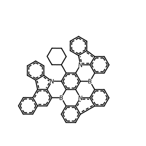 c1ccc2c(c1)cc1c3c2c2ccccc2n3-c2c3c4c5c(c2C2CCCCC2)-n2c6ccccc6c6cccc(c62)B5c2cccc5c6cccc(c6n-4c25)B31